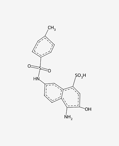 Cc1ccc(S(=O)(=O)Nc2ccc3c(N)c(O)cc(S(=O)(=O)O)c3c2)cc1